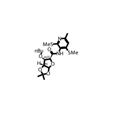 CCCCO[C@H]1[C@@H](C(=O)Nc2c(SC)cc(C)nc2SC)OC2OC(C)(C)O[C@@H]21